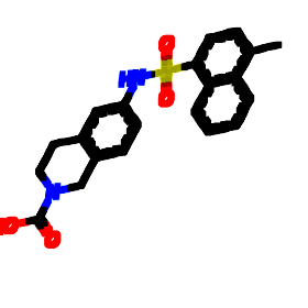 Cc1ccc(S(=O)(=O)Nc2ccc3c(c2)CCN(C(=O)O)C3)c2ccccc12